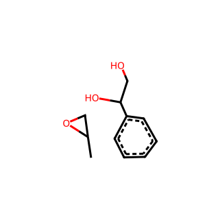 CC1CO1.OCC(O)c1ccccc1